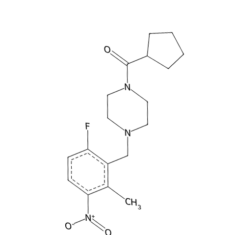 Cc1c([N+](=O)[O-])ccc(F)c1CN1CCN(C(=O)C2CCCC2)CC1